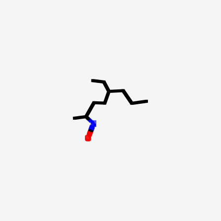 CCCC(CC)CCC(C)N=O